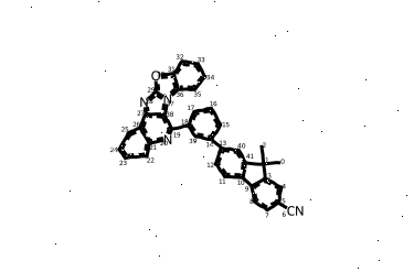 CC1(C)c2cc(C#N)ccc2-c2ccc(-c3cccc(-c4nc5ccccc5c5nc6oc7ccccc7n6c45)c3)cc21